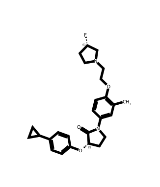 Cc1cc(N2CC[C@H](Oc3ccc(C4CC4)cc3)C2=O)ccc1OCCN1CC[C@H](F)C1